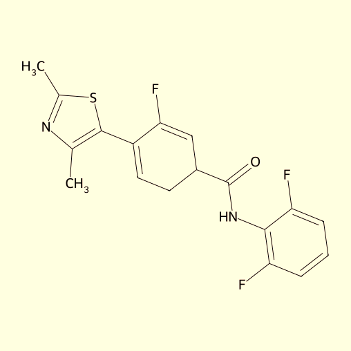 Cc1nc(C)c(C2=CCC(C(=O)Nc3c(F)cccc3F)C=C2F)s1